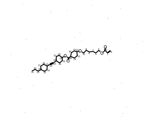 C=CC(=O)OCCCCCCOC1CCC(C(=O)OC2CCC(C#CC3CCC(CCC)CC3)CC2)CC1